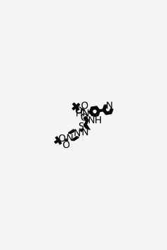 CC(C)(C)OC(=O)Nc1ccc(-c2cccnc2)cc1NC(=O)c1cnc(N2CCN(C(=O)OC(C)(C)C)CC2)s1